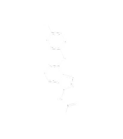 O=C(O)Nc1nnc2c(Nc3ccc(Cl)cc3)nccn12